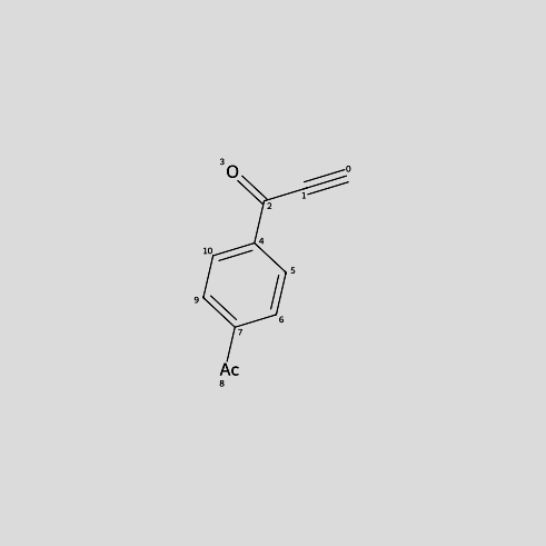 C#CC(=O)c1ccc(C(C)=O)cc1